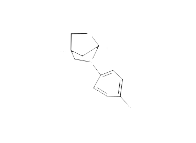 O=[N+]([O-])c1ccc(N2C[C@H]3CO[C@@H]2C3)cc1